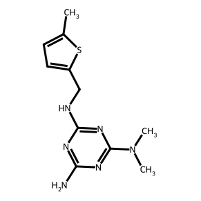 Cc1ccc(CNc2nc(N)nc(N(C)C)n2)s1